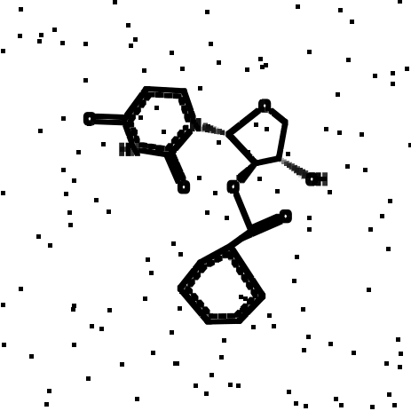 O=C(O[C@H]1[C@H](n2ccc(=O)[nH]c2=O)OC[C@@H]1O)c1ccccc1